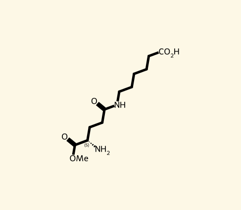 COC(=O)[C@@H](N)CCC(=O)NCCCCCC(=O)O